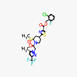 Cc1cc(C(F)(F)F)nn1CC(=O)N1CCC(c2nc(C(=O)OCc3c(F)cccc3Cl)cs2)CC1[S+](C)[O-]